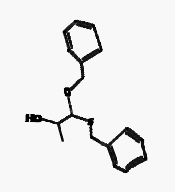 CC(O)C(OCc1ccccc1)SCc1ccccc1